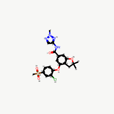 Cn1ncc(NC(=O)c2cc(Oc3ccc(S(C)(=O)=O)cc3Cl)c3c(c2)OC(C)(C)C3)n1